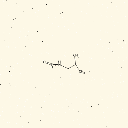 CC(C)CN[SH]=O